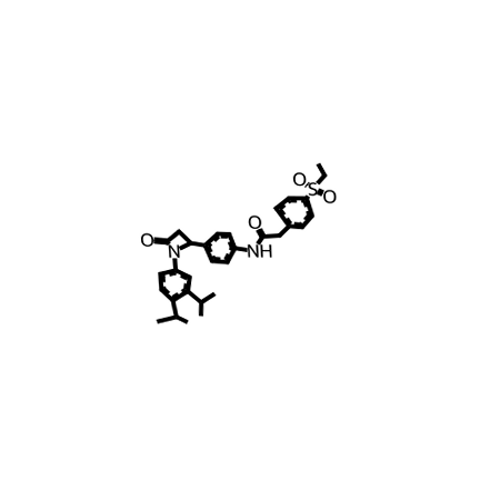 CCS(=O)(=O)c1ccc(CC(=O)Nc2ccc(C3CC(=O)N3c3ccc(C(C)C)c(C(C)C)c3)cc2)cc1